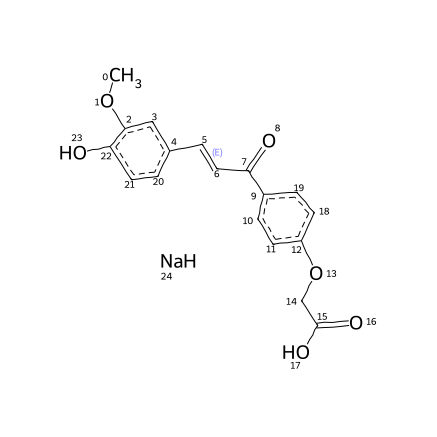 COc1cc(/C=C/C(=O)c2ccc(OCC(=O)O)cc2)ccc1O.[NaH]